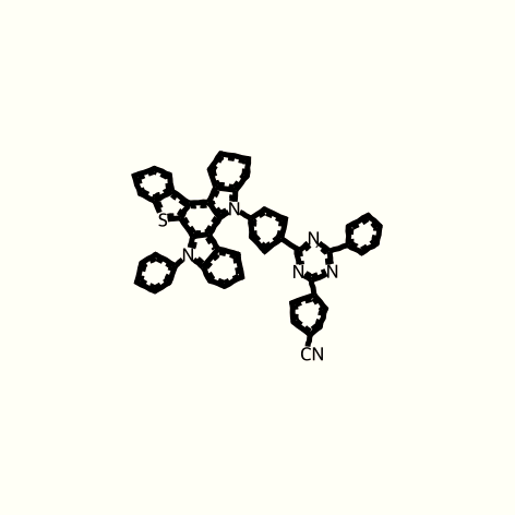 N#Cc1ccc(-c2nc(-c3ccccc3)nc(-c3ccc(-n4c5ccccc5c5c6c7ccccc7sc6c6c(c7ccccc7n6-c6ccccc6)c54)cc3)n2)cc1